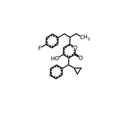 CCC(Cc1ccc(F)cc1)c1cc(O)c(C(c2ccccc2)C2CC2)c(=O)o1